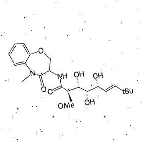 CO[C@@H](C(=O)NC1COc2ccccc2N(C)C1=O)[C@H](O)[C@@H](O)[C@H](O)C=CC(C)(C)C